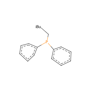 CCC(C)CP(c1ccccc1)c1ccccc1